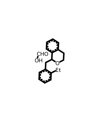 CCc1ccccc1CC1OCCc2ccccc21.O=CO